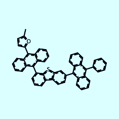 Cc1ccc(-c2c3ccccc3c(-c3cccc4c3sc3cc(-c5c6ccccc6c(-c6ccccc6)c6ccccc56)ccc34)c3ccccc23)o1